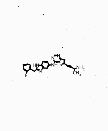 CC(N)C#Cc1cc2ncnc(Nc3ccc4[nH]c(Cc5ccccc5F)nc4c3)c2s1